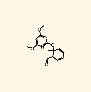 COc1cc(OC)nc(OC2(C)C=CC=CC2C=O)n1